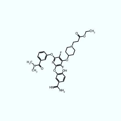 CCOC(=O)CCN1CCC(Oc2c(F)c(Oc3cccc(C(=O)N(C)C)c3)nc(Oc3cc(C(=N)N)ccc3O)c2F)CC1